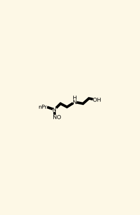 CCCN(CCNCCO)N=O